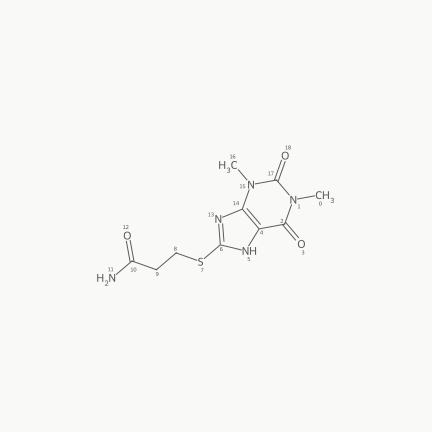 Cn1c(=O)c2[nH]c(SCCC(N)=O)nc2n(C)c1=O